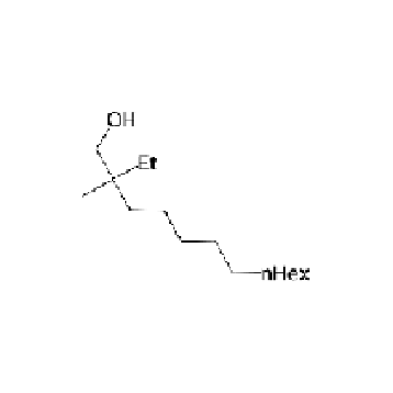 CCCCCCCCCCCC(C)(CC)CO